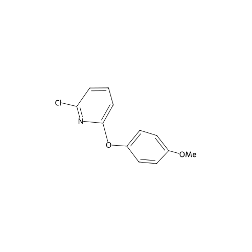 COc1ccc(Oc2cccc(Cl)n2)cc1